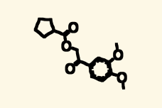 COc1ccc(C(=O)COC(=O)C2CCCC2)cc1OC